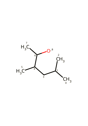 CC(C)CC(C)C(C)[O]